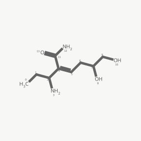 CCC(N)C(=CCC(O)CO)C(N)=O